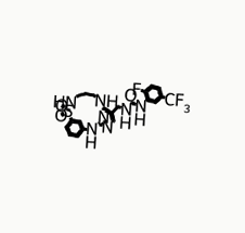 O=C(NCc1cnc2nc1NCCCNS(=O)(=O)c1cccc(c1)N2)Nc1cc(C(F)(F)F)ccc1F